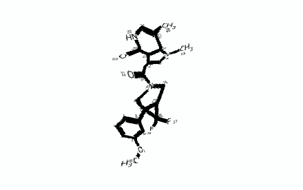 COc1cccc(C23CN(C(=O)c4cn(C)c5c(C)c[nH]c(=O)c45)CC2C3(F)F)c1